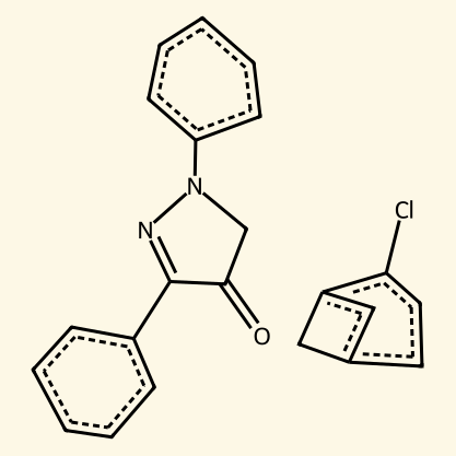 Clc1ccc2cc1C2.O=C1CN(c2ccccc2)N=C1c1ccccc1